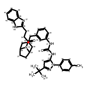 Cc1ccc(-n2nc(C(C)(C)C)cc2NC(=O)Nc2cccc(CC3CC4CCC(C3)N4C(=O)CCc3nc4ccccc4[nH]3)c2)cc1